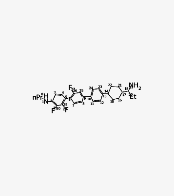 CCCNc1ccc(-c2ccc(-c3ccc(C4CCC(C(N)CC)CC4)cc3)cc2F)c(F)c1F